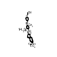 COc1cc(/N=N/c2ccc(OCCO)cc2)c(C)cc1N/N=C1/C=Cc2cc(NC(C)=O)ccc2C1=O